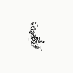 COc1cc(N[C@@H]2CN(C(=O)Cc3ccc(OC(F)(F)F)cc3)C[C@H]2O)nc2ccc(C)cc12